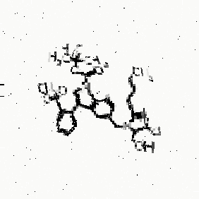 CCCCc1nc(Cl)c(CO)n1Cc1ccc2c(c1)c(-c1ccccc1C(=O)OC)cn2C(=O)OC(C)(C)C